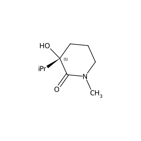 CC(C)[C@@]1(O)CCCN(C)C1=O